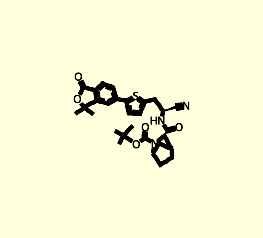 CC(C)(C)OC(=O)N1C2CCC(C2)[C@H]1C(=O)N[C@H](C#N)Cc1ccc(-c2ccc3c(c2)C(C)(C)OC3=O)s1